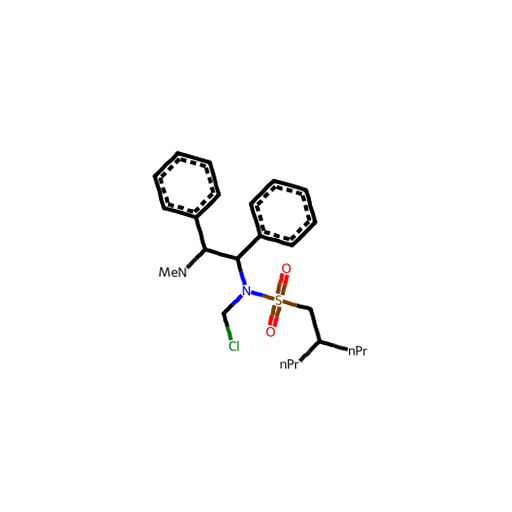 CCCC(CCC)CS(=O)(=O)N(CCl)C(c1ccccc1)C(NC)c1ccccc1